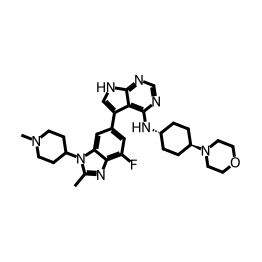 Cc1nc2c(F)cc(-c3c[nH]c4ncnc(N[C@H]5CC[C@H](N6CCOCC6)CC5)c34)cc2n1C1CCN(C)CC1